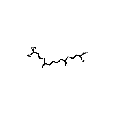 CCCC(O)CCOC(=O)CCCCC(=O)OCCC(O)CCC